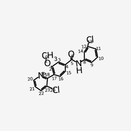 COc1cc(C(=O)Nc2cccc(Cl)c2)ccc1-c1ncccc1Cl